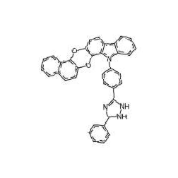 c1ccc(C2N=C(c3ccc(-n4c5ccccc5c5ccc6c(c54)Oc4ccc5ccccc5c4O6)cc3)NN2)cc1